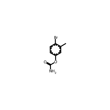 Cc1cc(OC(N)=O)ccc1Br